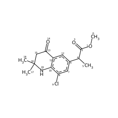 COC(=O)C(C)c1cc(Cl)c2c(c1)C(=O)CC(C)(C)N2